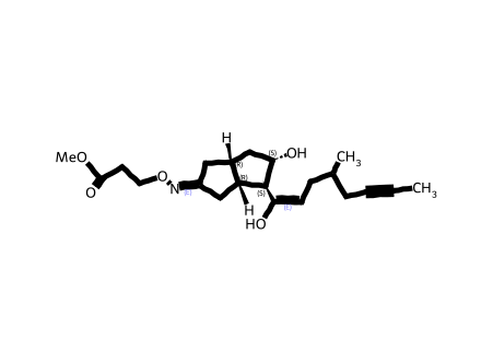 CC#CCC(C)C/C=C(/O)[C@H]1[C@@H]2C/C(=N/OCCC(=O)OC)C[C@@H]2C[C@@H]1O